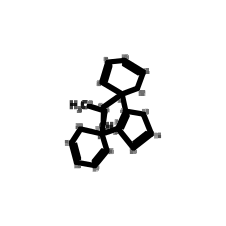 CCC1(C2=C(C3(CC)C=CC=CC3)CC=C2)C=CC=CC1